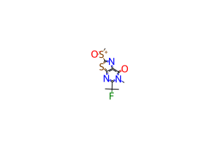 Cn1c(C(C)(C)F)nc2sc([S+](C)[O-])nc2c1=O